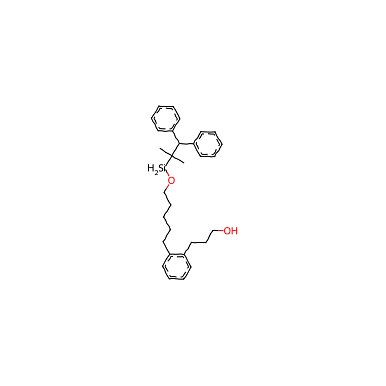 CC(C)([SiH2]OCCCCCc1ccccc1CCCO)C(c1ccccc1)c1ccccc1